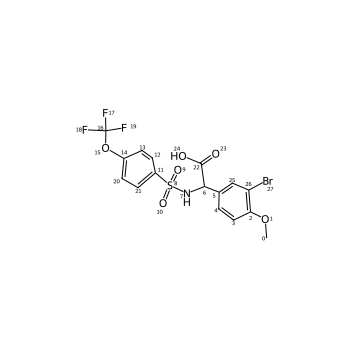 COc1ccc(C(NS(=O)(=O)c2ccc(OC(F)(F)F)cc2)C(=O)O)cc1Br